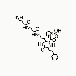 CNCCCC(=O)NCCC(=O)NCCCCC(NC(CCc1ccccc1)C(=O)O)C(=O)N1CCC[C@@H]1C(=O)O